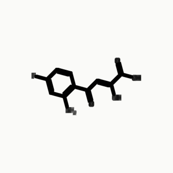 Bc1cc(F)ccc1C(=O)/C=C(\O)C(=O)O